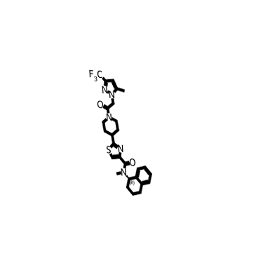 Cc1cc(C(F)(F)F)nn1CC(=O)N1CCC(c2nc(C(=O)N(C)[C@@H]3CCCc4ccccc43)cs2)CC1